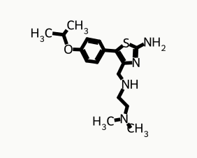 CC(C)Oc1ccc(-c2sc(N)nc2CNCCN(C)C)cc1